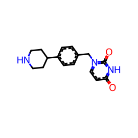 O=c1ccn(Cc2ccc(C3CCNCC3)cc2)c(=O)[nH]1